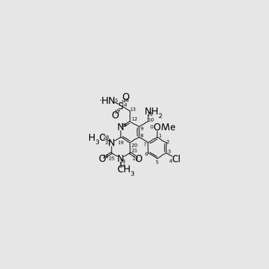 COc1cc(Cl)ccc1-c1c(CN)c(CS([NH])(=O)=O)nc2c1c(=O)n(C)c(=O)n2C